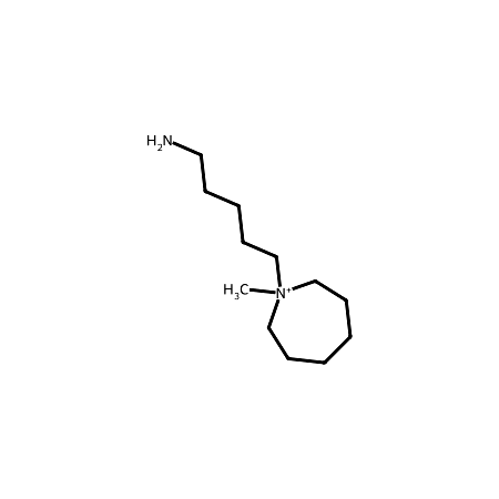 C[N+]1(CCCCCN)CCCCCC1